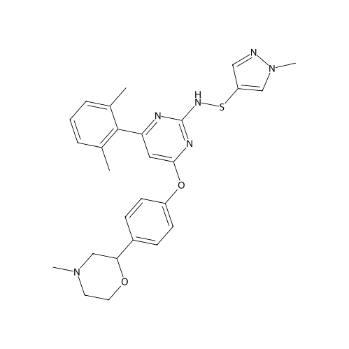 Cc1cccc(C)c1-c1cc(Oc2ccc(C3CN(C)CCO3)cc2)nc(NSc2cnn(C)c2)n1